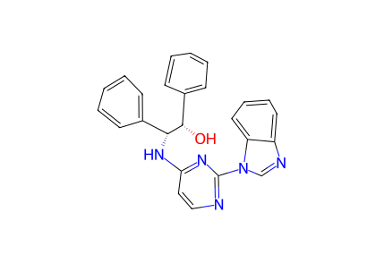 O[C@@H](c1ccccc1)[C@H](Nc1ccnc(-n2cnc3ccccc32)n1)c1ccccc1